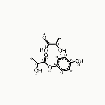 CC(O)C(=O)O.CC(O)C(=O)Oc1ccc(O)cc1